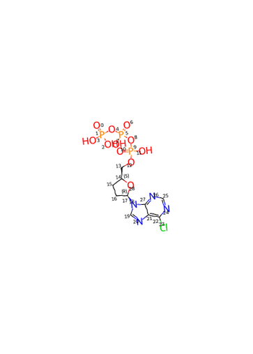 O=P(O)(O)OP(=O)(O)OP(=O)(O)OC[C@@H]1CC[C@H](n2cnc3c(Cl)ncnc32)O1